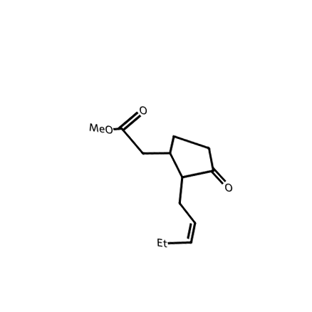 CC/C=C\CC1C(=O)CCC1CC(=O)OC